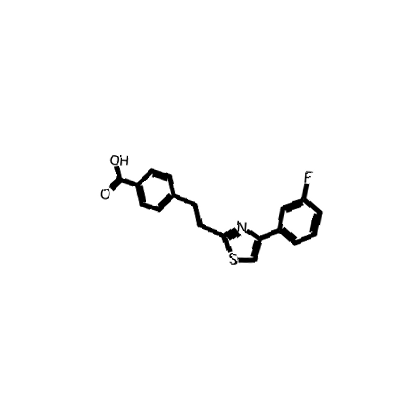 O=C(O)c1ccc(CCc2nc(-c3cccc(F)c3)cs2)cc1